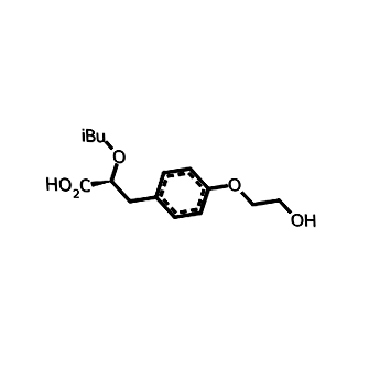 CCC(C)O[C@@H](Cc1ccc(OCCO)cc1)C(=O)O